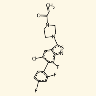 C=CC(=O)N1CCN(c2snc3c(F)c(-c4ccc(F)cc4F)c(Cl)cc23)CC1